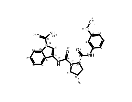 C[C@H]1C[C@@H](C(=O)Nc2cccc(OC(F)(F)F)c2)N(C(=O)Nc2cn(C(N)=O)c3ccccc23)C1